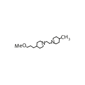 COCCCC1CCN(CCN2CCC(C)CC2)CC1